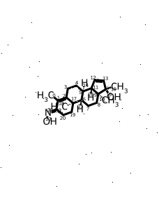 CC1=C2CC[C@@H]3[C@H](CC[C@@]4(C)[C@H]3C=C[C@]4(C)O)[C@@]2(C)CC/C1=N\O